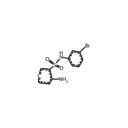 Nc1ccccc1S(=O)(=O)Nc1cccc(Br)c1